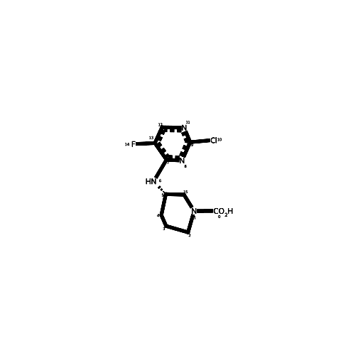 O=C(O)N1CCC[C@H](Nc2nc(Cl)ncc2F)C1